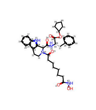 O=C(CCCCCCC(=O)N1CCc2c([nH]c3ccccc23)C1C(=O)N[C@@H](Cc1ccccc1)C(=O)OC1CCCC1)NO